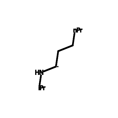 CCCCC[CH]NC(C)C